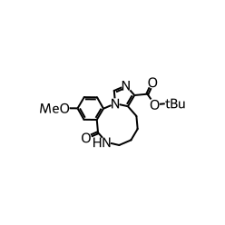 COc1ccc2c(c1)C(=O)NCCCCc1c(C(=O)OC(C)(C)C)ncn1-2